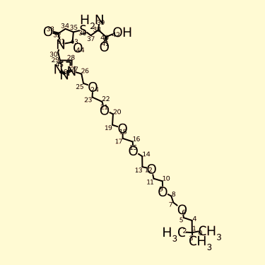 CC(C)(C)CCOCCOCCOCCOCCOCCOCCOCCn1cc(CN2C(=O)CC(SCC(N)C(=O)O)C2=O)nn1